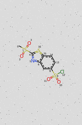 CS(=O)(=O)c1nc2cc(S(=O)(=O)Cl)ccc2s1